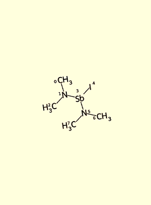 C[N](C)[Sb]([I])[N](C)C